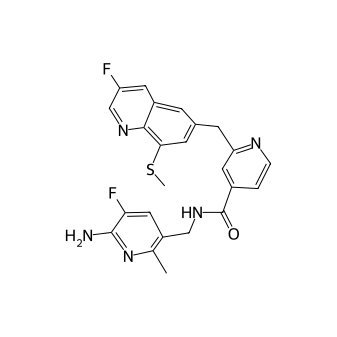 CSc1cc(Cc2cc(C(=O)NCc3cc(F)c(N)nc3C)ccn2)cc2cc(F)cnc12